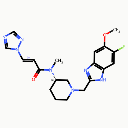 CN(C(=O)/C=C/n1cncn1)[C@H]1CCCN(Cc2nc3cc(OC(F)(F)F)c(F)cc3[nH]2)C1